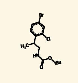 CC(CNC(=O)OC(C)(C)C)c1ccc(Br)cc1Cl